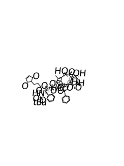 CC(=O)OC12CO[C@H]1C[C@H](O)[C@@]1(C)C(=O)[C@H](O)C3=C(C)[C@@H](OC(=O)[C@@H](OC(=O)CCC4C(=O)C=CC4=O)[C@@H](NC(=O)OC(C)(C)C)c4ccccc4)C[C@@](O)([C@@H](CC(=O)c4ccccc4)[C@@H]21)C3(C)C